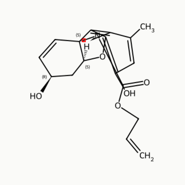 C=CCOC(=O)N1CC[C@@]23C=C[C@H](O)C[C@@H]2Oc2c(O)cc(C)c(c23)C1